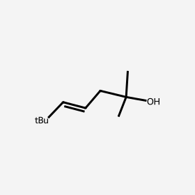 CC(C)(C)/C=C/CC(C)(C)O